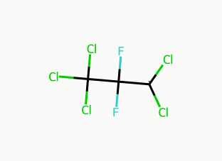 FC(F)([C](Cl)Cl)C(Cl)(Cl)Cl